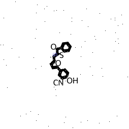 N#Cc1cc(-c2ccc(/C=C3\Sc4ccccc4C3=O)o2)ccc1O